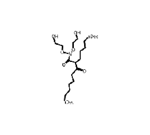 CCCCCCCCCCCCCCCC(=O)C(CCCCCCCCCCCCCC)C(=O)N(OCCO)OCCO